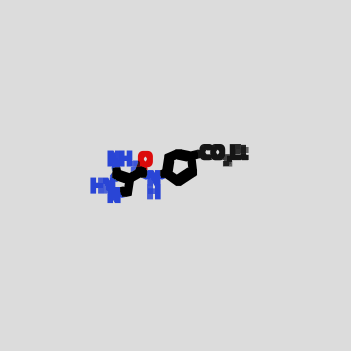 CCOC(=O)c1ccc(NC(=O)c2cn[nH]c2N)cc1